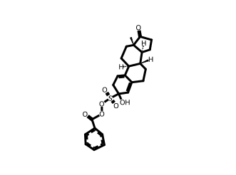 C[C@]12CC[C@@H]3C4=CCC(O)(S(=O)(=O)OOC(=O)c5ccccc5)C=C4CC[C@H]3[C@@H]1CCC2=O